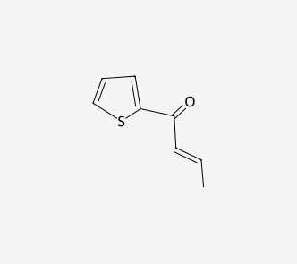 C/C=C/C(=O)c1cccs1